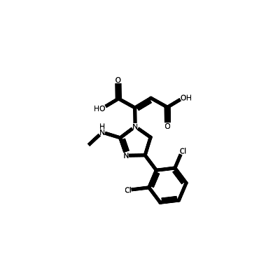 CNC1=NC(c2c(Cl)cccc2Cl)CN1/C(=C\C(=O)O)C(=O)O